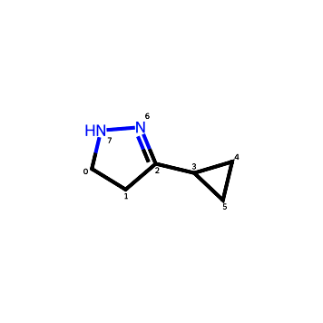 C1CC(C2CC2)=NN1